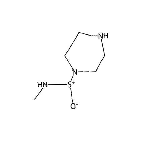 CN[S+]([O-])N1CCNCC1